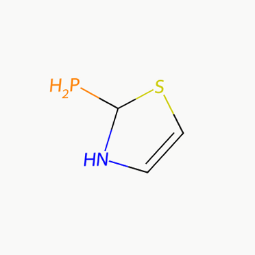 PC1NC=CS1